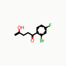 C=C(O)CCC(=O)c1ccc(F)cc1Br